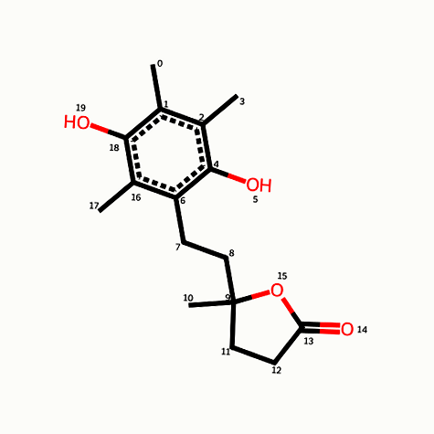 Cc1c(C)c(O)c(CCC2(C)CCC(=O)O2)c(C)c1O